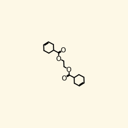 O=C(OCCOC(=O)C1CC=CCC1)C1CC=CCC1